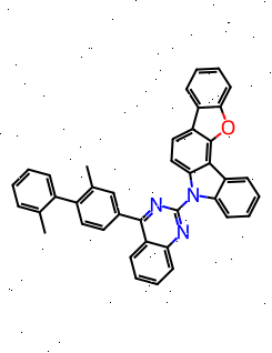 Cc1ccccc1-c1ccc(-c2nc(-n3c4ccccc4c4c5oc6ccccc6c5ccc43)nc3ccccc23)cc1C